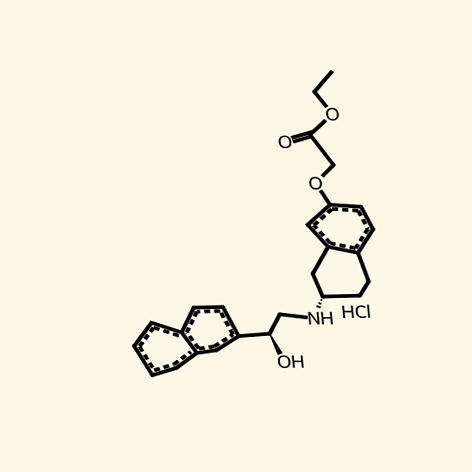 CCOC(=O)COc1ccc2c(c1)C[C@@H](NC[C@@H](O)c1ccc3ccccc3c1)CC2.Cl